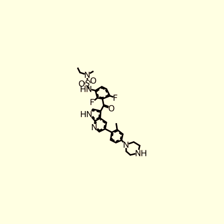 CCN(C)S(=O)(=O)Nc1ccc(F)c(C(=O)c2c[nH]c3ncc(-c4ccc(N5CCNCC5)cc4C)cc23)c1F